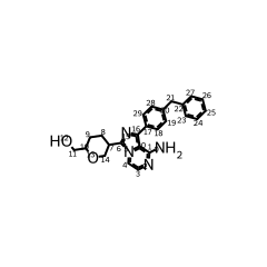 Nc1nccn2c(C3CCC(CO)OC3)nc(-c3ccc(Cc4ccccc4)cc3)c12